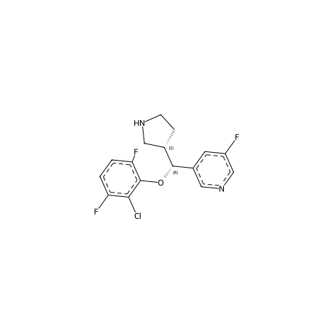 Fc1cncc([C@H](Oc2c(F)ccc(F)c2Cl)[C@H]2CCNC2)c1